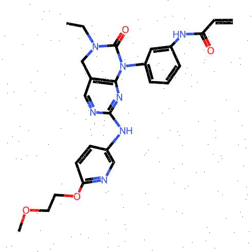 C=CC(=O)Nc1cccc(N2C(=O)N(CC)Cc3cnc(Nc4ccc(OCCOC)nc4)nc32)c1